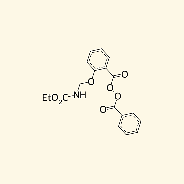 CCOC(=O)NCOc1ccccc1C(=O)OOC(=O)c1ccccc1